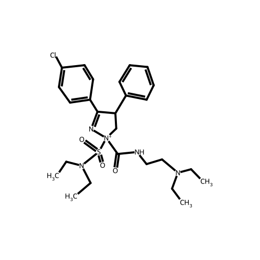 CCN(CC)CCNC(=O)[N+]1(S(=O)(=O)N(CC)CC)CC(c2ccccc2)C(c2ccc(Cl)cc2)=N1